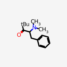 CN(C)C(Cc1ccccc1)C(=O)C(C)(C)C